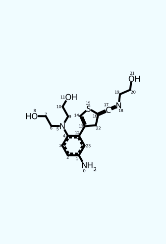 Nc1ccc(N(CCO)CCO)c(C2=CSC(=C=NCCO)C2)c1